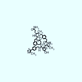 Cc1ncsc1-c1ccc(CNC(=O)[C@@H]2C[C@@H](O)CN2C(=O)[C@@H](NC(=O)Cc2ccc(CO[C@H](C)[C@H](CCC(N)=O)NC(=O)[C@@H]3Cc4cccc5c4N3C(=O)CCC5)cc2)C(C)(C)C)cc1